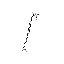 C/C=C/C=C/C=C/C/C=C/C=C/C=C/C(C)C(N)=O